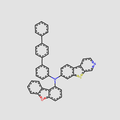 c1ccc(-c2ccc(-c3cccc(N(c4ccc5c(c4)sc4cnccc45)c4cccc5oc6ccccc6c45)c3)cc2)cc1